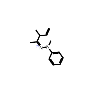 C=CC(C)/C(C)=N\N(C)c1ccccc1